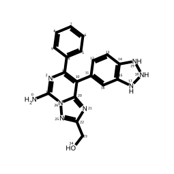 Nc1nc(-c2ccccc2)c(-c2ccc3c(c2)NNN3)c2nc(CO)nn12